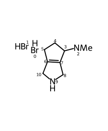 Br.Br.CNC1CCC2=C1CNC2